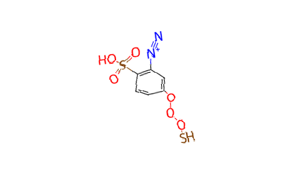 N#[N+]c1cc(OOOS)ccc1S(=O)(=O)O